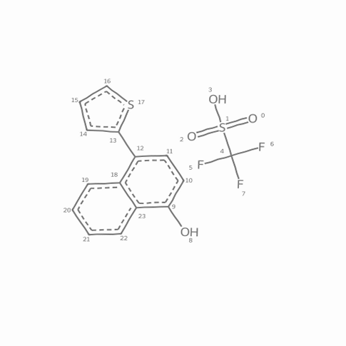 O=S(=O)(O)C(F)(F)F.Oc1ccc(-c2cccs2)c2ccccc12